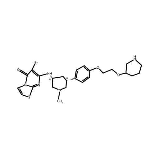 CN1C[C@H](Nc2nc3sccn3c(=O)c2Br)C[C@H](c2ccc(OCCOC3CCCNC3)cc2)C1